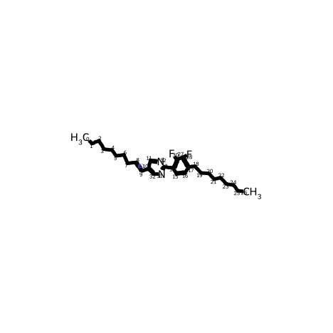 CCCCCCCC/C=C/c1cnc(-c2ccc(CCCCCCCCC)c(F)c2F)nc1